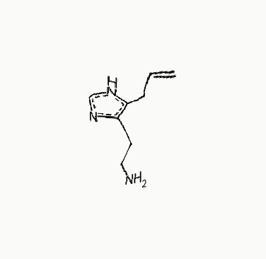 C=CCc1[nH]cnc1CCN